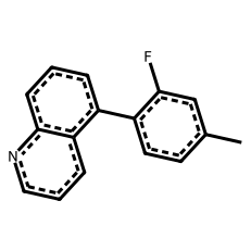 Cc1ccc(-c2cccc3ncccc23)c(F)c1